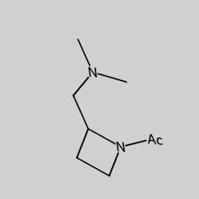 CC(=O)N1CCC1CN(C)C